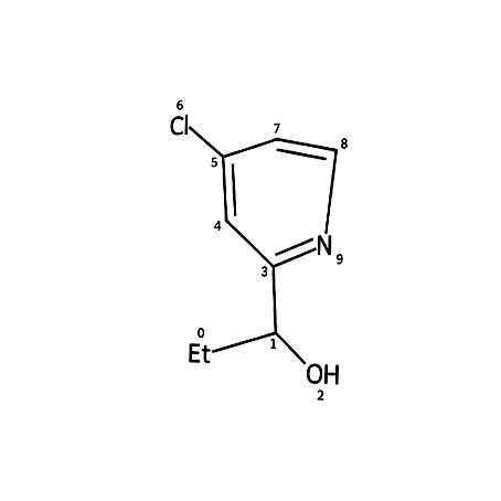 CCC(O)c1cc(Cl)ccn1